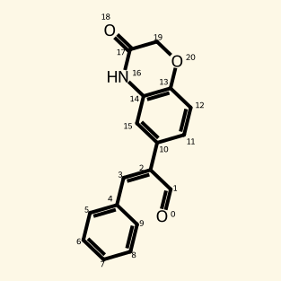 O=CC(=Cc1ccccc1)c1ccc2c(c1)NC(=O)CO2